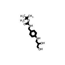 CC(C)(C)OC(=O)NCc1ccc(NCC(O)CO)cc1